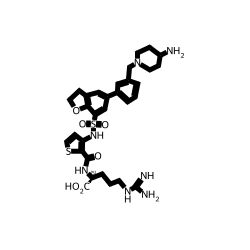 N=C(N)NCCC[C@H](NC(=O)c1sccc1NS(=O)(=O)c1cc(-c2cccc(CN3CCC(N)CC3)c2)cc2c1OCC2)C(=O)O